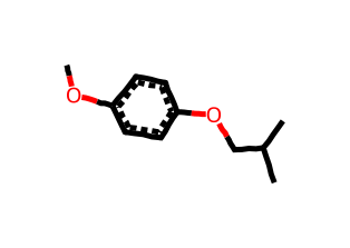 COc1ccc(OCC(C)C)cc1